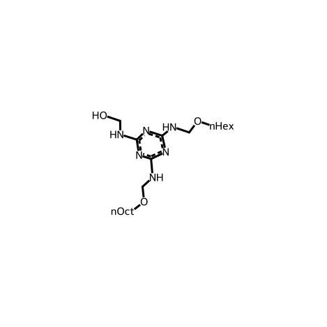 CCCCCCCCOCNc1nc(NCO)nc(NCOCCCCCC)n1